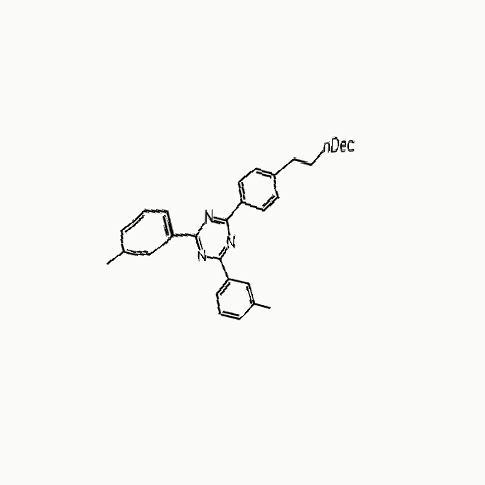 CCCCCCCCCCCCc1ccc(-c2nc(-c3cccc(C)c3)nc(-c3cccc(C)c3)n2)cc1